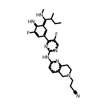 CCC(C)/C(NC)=C1\C=C(c2nc(Nc3ccc4c(n3)CCN(CCC#N)C4)ncc2F)C=C(F)C1=N